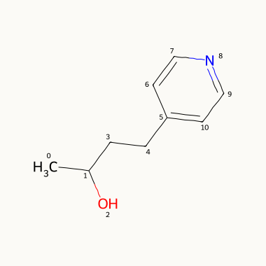 CC(O)CCc1ccncc1